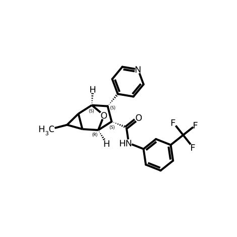 CC1C2C1[C@@H]1O[C@H]2[C@@H](C(=O)Nc2cccc(C(F)(F)F)c2)[C@H]1c1ccncc1